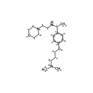 CC(NCCN1CCOCC1)c1ccc(OCCCN(C)C)cc1